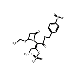 CCSC1CC(=O)N1/C(C(=O)OCc1ccc([N+](=O)[O-])cc1)=C(\CC)OS(C)(=O)=O